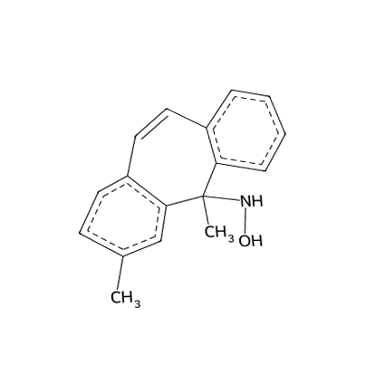 Cc1ccc2c(c1)C(C)(NO)c1ccccc1C=C2